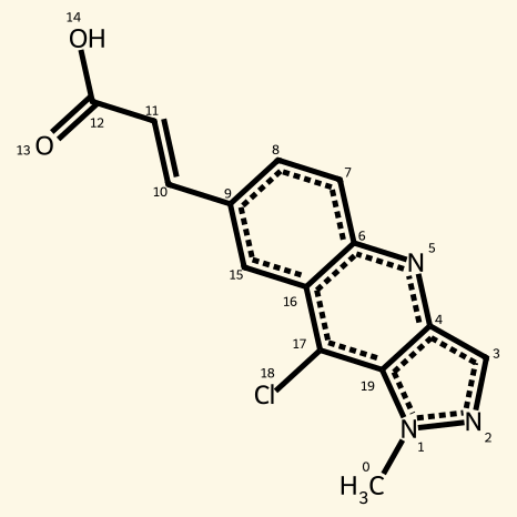 Cn1ncc2nc3ccc(C=CC(=O)O)cc3c(Cl)c21